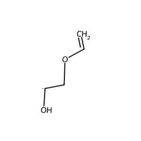 C=COC[CH]O